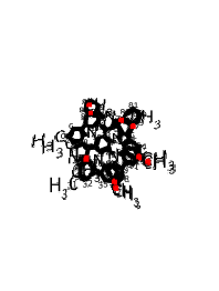 Cc1ccc2c(c1)c1cc(C)ccc1n2-c1c(-c2cc(C)nc(C)c2)c(-n2c3ccc(C)cc3c3cc(C)ccc32)c(-n2c3ccc(C)cc3c3cc(C)ccc32)c(-n2c3ccc(C)cc3c3cc(C)ccc32)c1-c1cc(-c2ccccc2)nc(-c2ccccc2)n1